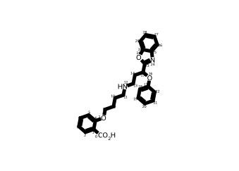 O=C(O)c1ccccc1OCCCCNCCC(Oc1ccccc1)c1nc2ccccc2o1